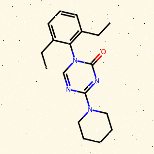 CCc1cccc(CC)c1-n1cnc(N2CCCCC2)nc1=O